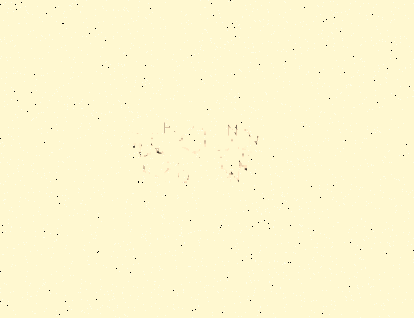 CCn1cnc2c(-c3ccc(F)c(-c4c(OC)ccc5nccn45)c3)cnnc21